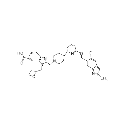 Cn1cc2cc(F)c(COc3cccc(C4CCN(Cc5nc6ccc(C(=O)O)cc6n5CC5CCO5)CC4)n3)cc2n1